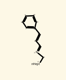 CCCCCCCCN=CC=Cc1ccccc1